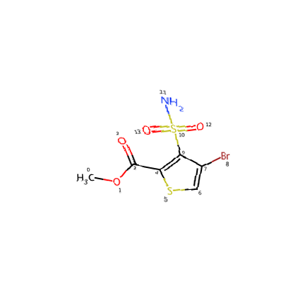 COC(=O)c1scc(Br)c1S(N)(=O)=O